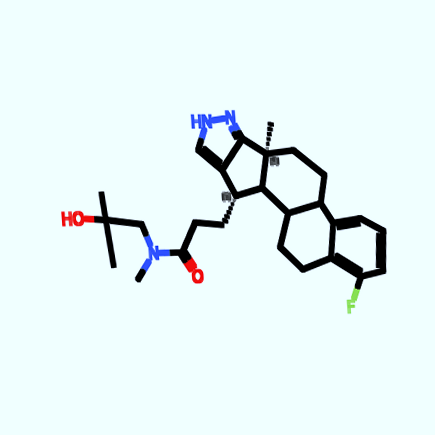 CN(CC(C)(C)O)C(=O)CC[C@@H]1c2c[nH]nc2[C@@]2(C)CCC3c4cccc(F)c4CCC3C12